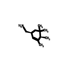 CC1=C[C@@H](CN)CC(C)(C)[C@H]1C